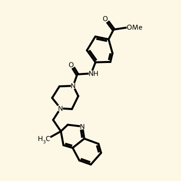 COC(=O)c1ccc(NC(=O)N2CCN(CC3(C)C=c4ccccc4=NC3)CC2)cc1